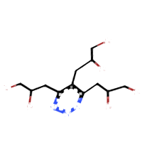 BrCC(Br)Cc1nnnc(CC(Br)CBr)c1CC(Br)CBr